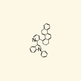 C1=c2c(ccc3c2=C(c2cccnc2-c2cn(-c4ccccc4)c4ccccc24)CCC3)-c2ccccc2C1